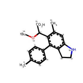 Cc1ccc(-c2c3c(cc(C)c2C(OC(C)(C)C)C(=O)O)NCC3)cc1